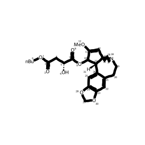 CCCCOC(=O)C[C@@H](O)C(=O)OC1C(OC)=CC23CCCN2CCc2cc4c(cc2[C@H]13)OCO4